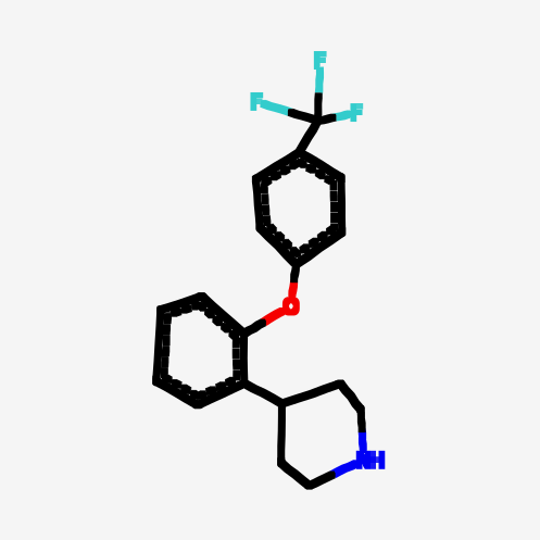 FC(F)(F)c1ccc(Oc2ccccc2C2CCNCC2)cc1